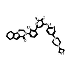 CCc1c(-c2cc(Nc3ccc(N4CCN(C5COC5)CC4)cn3)c(=O)n(C)n2)cccc1N1CCn2c(cc3c2CCCC3)C1=O